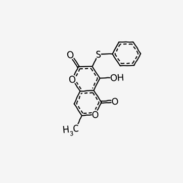 Cc1cc2oc(=O)c(Sc3ccccc3)c(O)c2c(=O)o1